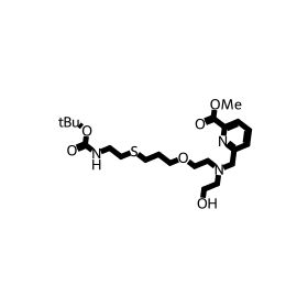 COC(=O)c1cccc(CN(CCO)CCOCCCSCCNC(=O)OC(C)(C)C)n1